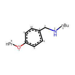 CCCCNCc1ccc(OCCC)cc1